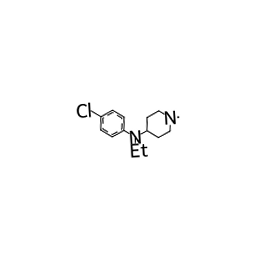 CCN(c1ccc(Cl)cc1)C1CC[N]CC1